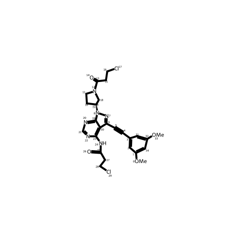 COc1cc(C#Cc2nn([C@H]3CCN(C(=O)CCCl)C3)c3ncnc(NC(=O)CCCl)c23)cc(OC)c1